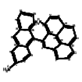 Nc1ccc2c(-c3cc4cccc5ccc6ccc(N)c3c6c54)c3ccccc3cc2c1